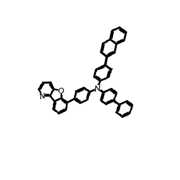 c1ccc(-c2ccc(N(c3ccc(-c4ccc5ccccc5c4)cc3)c3ccc(-c4cccc5c4oc4cccnc45)cc3)cc2)cc1